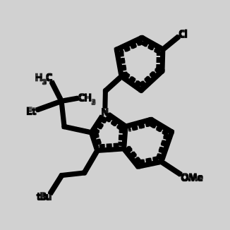 CCC(C)(C)Cc1c(CCC(C)(C)C)c2cc(OC)ccc2n1Cc1ccc(Cl)cc1